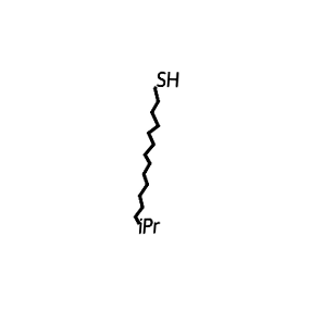 CC(C)CCCCCCCCCCCCCS